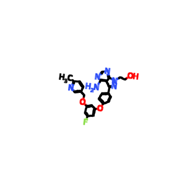 Cc1ccc(COc2cc(F)cc(Oc3ccc(-c4nn(CCO)c5ncnc(N)c45)cc3)c2)cn1